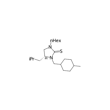 CCCCCCN1C[C@@H](CC(C)C)N(CC2CCC(C)CC2)C1=S